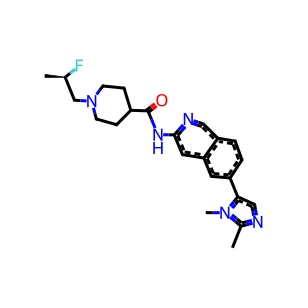 Cc1ncc(-c2ccc3cnc(NC(=O)C4CCN(C[C@@H](C)F)CC4)cc3c2)n1C